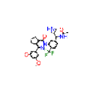 COc1cc(OC)cc(-c2nn(-c3cc(C(NC(C)=O)C4CNC4)ccc3C(F)(F)F)c(=O)c3c2CCC3)c1